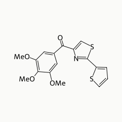 COc1cc(C(=O)c2csc(-c3cccs3)n2)cc(OC)c1OC